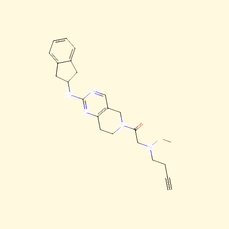 C#CCCN(CC(=O)N1CCc2nc(NC3Cc4ccccc4C3)ncc2C1)OC(C)(C)C